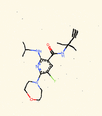 C#CC(C)(C)NC(=O)c1cc(F)c(N2CCOCC2)nc1NC(C)C